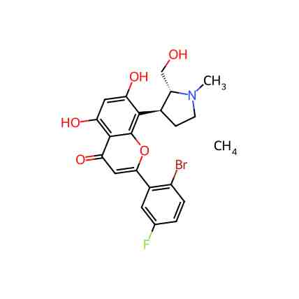 C.CN1CC[C@@H](c2c(O)cc(O)c3c(=O)cc(-c4cc(F)ccc4Br)oc23)[C@@H]1CO